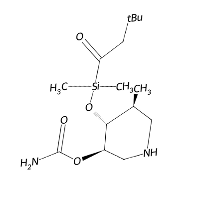 C[C@H]1CNC[C@@H](OC(N)=O)[C@@H]1O[Si](C)(C)C(=O)CC(C)(C)C